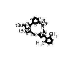 Cc1cccc(C)c1-c1cc2nc(n1)NS(=O)(=O)c1cccc(c1)C(=O)N(CCC(C)(C)C)C(CC(C)(C)C)CO2